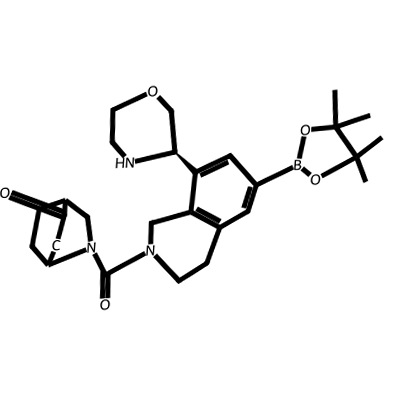 CC1(C)OB(c2cc3c(c([C@@H]4COCCN4)c2)CN(C(=O)N2CC4CCC2CC4=O)CC3)OC1(C)C